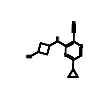 N#Cc1ncc(C2CC2)nc1NC1CC(O)C1